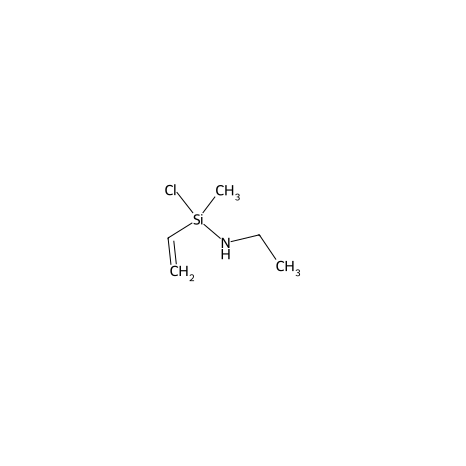 C=C[Si](C)(Cl)NCC